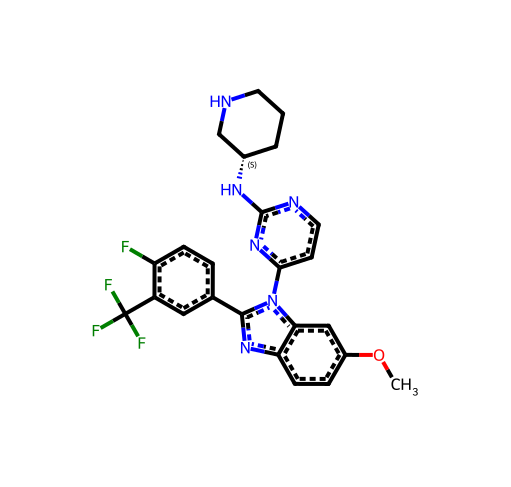 COc1ccc2nc(-c3ccc(F)c(C(F)(F)F)c3)n(-c3ccnc(N[C@H]4CCCNC4)n3)c2c1